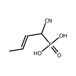 CC=CC(C#N)P(=O)(O)O